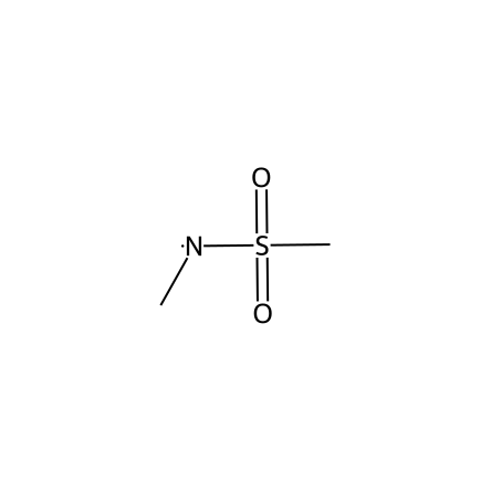 C[N]S(C)(=O)=O